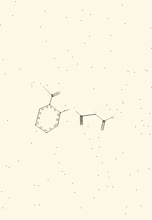 CCC(=O)CC(=O)Oc1ccccc1C(N)=O